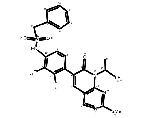 CSc1ncc2cc(-c3ccc(NS(=O)(=O)Cc4ccccc4)c(F)c3F)c(=O)n(C(C)C(F)(F)F)c2n1